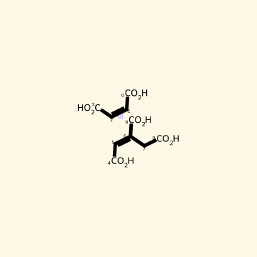 O=C(O)/C=C\C(=O)O.O=C(O)C=C(CC(=O)O)C(=O)O